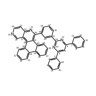 c1ccc(-c2cc(-c3ccccc3)nc(-c3cccc(-c4nc5ccncc5c5c6ccccc6c6ccccc6c45)c3)n2)cc1